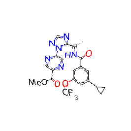 COC(=O)c1cnc(-n2ncnc2[C@H](C)NC(=O)c2cc(OC(F)(F)F)cc(C3CC3)c2)cn1